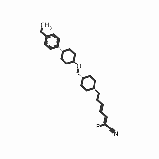 CCc1ccc([C@H]2CC[C@H](OC[C@H]3CC[C@H](CC/C=C/C=C(\F)C#N)CC3)CC2)cc1